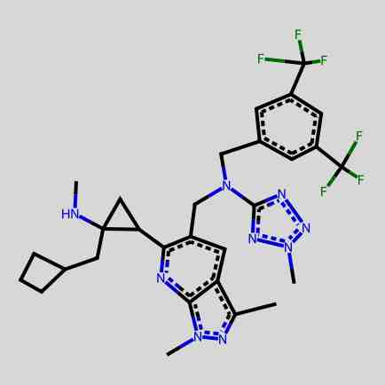 CNC1(CC2CCC2)CC1c1nc2c(cc1CN(Cc1cc(C(F)(F)F)cc(C(F)(F)F)c1)c1nnn(C)n1)c(C)nn2C